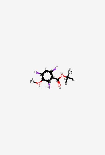 CCOc1c(I)cc(I)c(C(=O)OC(C)(C)CC)c1I